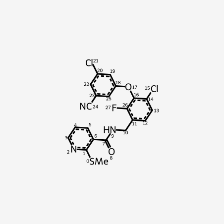 CSc1ncccc1C(=O)NCc1ccc(Cl)c(Oc2cc(Cl)cc(C#N)c2)c1F